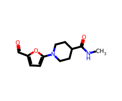 CNC(=O)C1CCN(c2ccc(C=O)o2)CC1